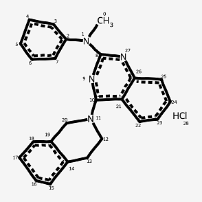 CN(c1ccccc1)c1nc(N2CCc3ccccc3C2)c2ccccc2n1.Cl